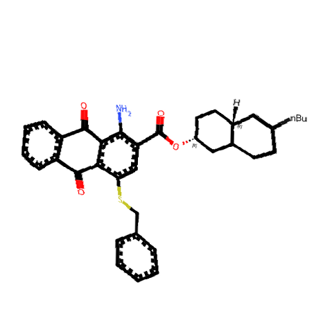 CCCCC1CCC2C[C@H](OC(=O)c3cc(SCc4ccccc4)c4c(c3N)C(=O)c3ccccc3C4=O)CC[C@@H]2C1